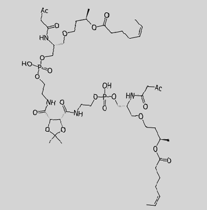 C/C=C\CCCC(=O)O[C@H](C)CCOC[C@H](COP(=O)(O)OCCNC(=O)[C@H]1OC(C)(C)O[C@H]1C(=O)NCCOP(=O)(O)OC[C@@H](COCC[C@@H](C)OC(=O)CCC/C=C\C)NC(=O)CC(C)=O)NC(=O)CC(C)=O